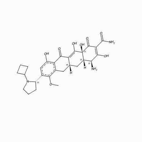 COc1c([C@@H]2CCCN2C2CCC2)cc(O)c2c1C[C@H]1C[C@H]3[C@H](N)C(O)=C(C(N)=O)C(=O)[C@@]3(O)C(O)=C1C2=O